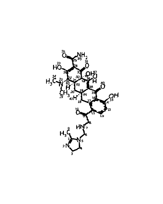 CC1=NCCN1CNCC(=O)c1ccc(O)c2c1C[C@H]1C[C@H]3[C@H](N(C)C)C(O)=C(C(N)=O)C(=O)[C@@]3(O)C(O)=C1C2=O